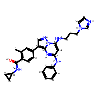 Cc1cc(-c2cnn3c(NCCCn4ccnc4)cc(Nc4ccccc4)nc23)ccc1C(=O)NC1CC1